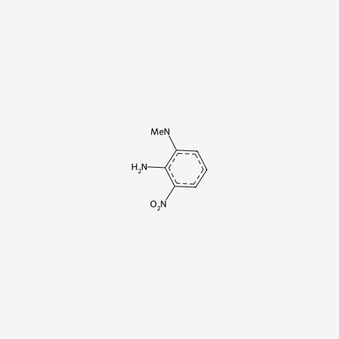 CNc1cccc([N+](=O)[O-])c1N